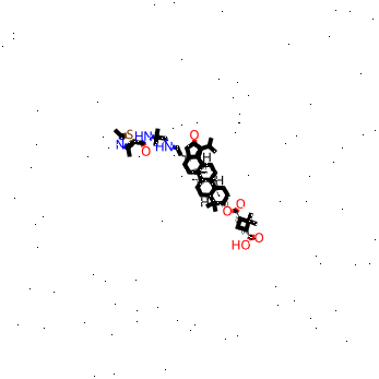 Cc1nc(C)c(C(=O)NC(C)(C)CNCC[C@@]23CC[C@]4(C)[C@H](CC[C@@H]5[C@@]6(C)CC[C@H](OC(=O)[C@H]7C[C@@H](C(=O)O)C7(C)C)C(C)(C)[C@@H]6CC[C@]54C)C2=C(C(C)C)C(=O)C3)s1